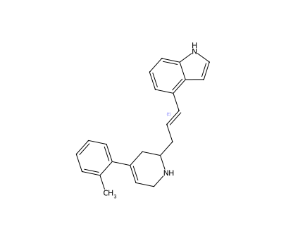 Cc1ccccc1C1=CCNC(C/C=C/c2cccc3[nH]ccc23)C1